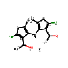 CC1=C([SiH2]C2=C(C)CC(Cl)=C2C(C)O)C(C(C)O)=C(Cl)C1.[Zr]